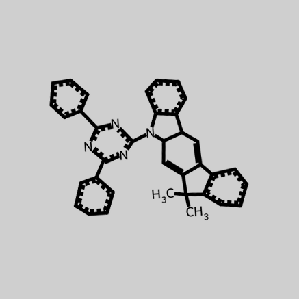 CC1(C)C2=CC3C(C=C2c2ccccc21)c1ccccc1N3c1nc(-c2ccccc2)nc(-c2ccccc2)n1